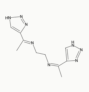 CC(=NCCN=C(C)c1c[nH]nn1)c1c[nH]nn1